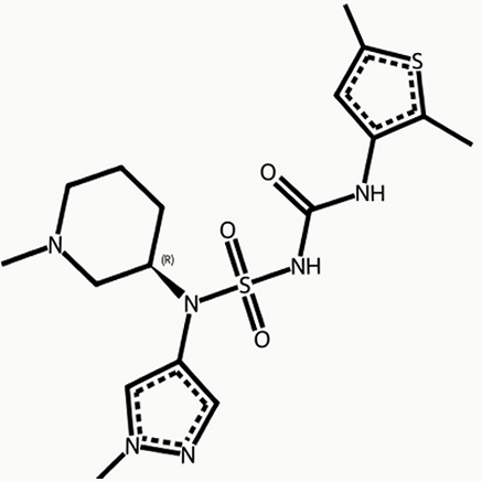 Cc1sc(C(C)C)cc1NC(=O)NS(=O)(=O)N(c1cnn(C)c1)[C@@H]1CCCN(C)C1